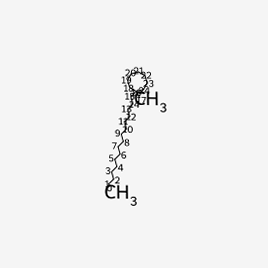 CCCCCCCCCCCCCCCCC1(C)CCCCCCC1